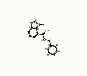 Cn1ccc2cccc(C(=O)OCc3ccccc3)c21